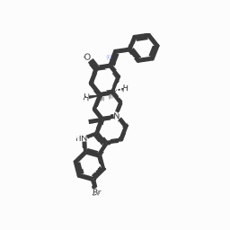 CC12C[C@@H]3CC(=O)/C(=C/c4ccccc4)C[C@H]3CN1CCc1c2[nH]c2ccc(Br)cc12